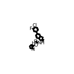 CC1(C)Cc2cc(-c3ccc(Cl)c(F)c3)ccc2C1NC(=O)O[C@H]1CN2CCC1CC2